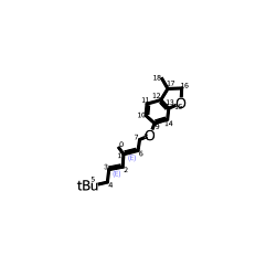 CC(/C=C/CC(C)(C)C)=C\COc1ccc2c(c1)OCC2C